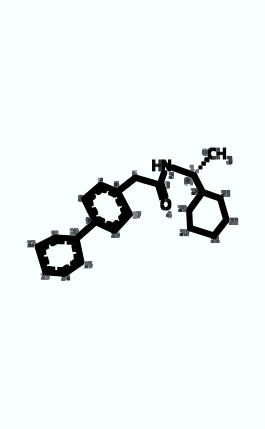 C[C@@H](NC(=O)Cc1ccc(-c2ccccc2)cc1)C1CCCCC1